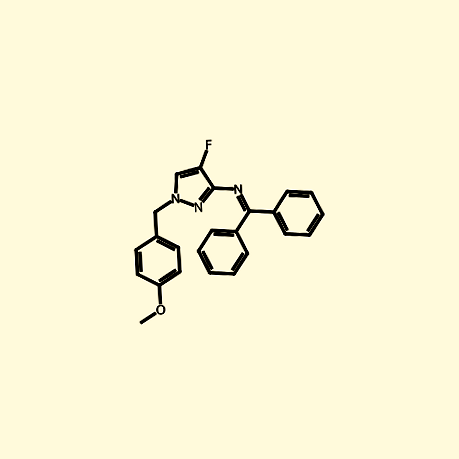 COc1ccc(Cn2cc(F)c(N=C(c3ccccc3)c3ccccc3)n2)cc1